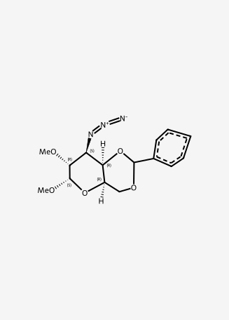 CO[C@H]1O[C@@H]2COC(c3ccccc3)O[C@@H]2[C@H](N=[N+]=[N-])[C@H]1OC